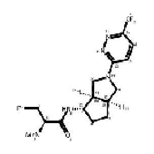 CN[C@@H](CC(C)C)C(=O)N[C@H]1CC[C@@H]2CN(c3ccc(C(F)(F)F)nn3)C[C@@H]21